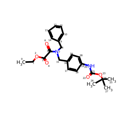 CCOC(=O)C(=O)N(Cc1ccccc1)Cc1ccc(NC(=O)OC(C)(C)C)cc1